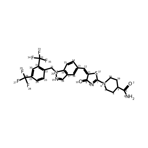 NC(=O)C1CCN(C2=NC(=O)C(=Cc3ccc4c(cnn4Cc4ccc(C(F)(F)F)cc4C(F)(F)F)c3)S2)CC1